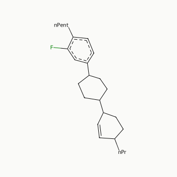 CCCCCc1ccc(C2CCC(C3C=CC(CCC)CC3)CC2)cc1F